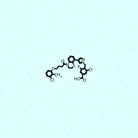 Cc1c(Cl)cccc1OCCCC(=O)N1CCSc2c(-c3cnn(Cc4c(F)cc(C(=O)O)cc4Cl)c3)cccc21